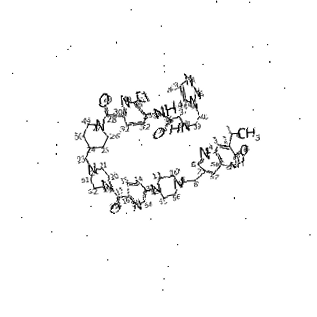 CCc1cc2ncc(CN3CCN(c4ccc(C(=O)N5CCN(CC6CCN(C(=O)c7ccc(NC(=O)CNCCn8ccnn8)c(Cl)n7)CC6)CC5)nc4)CC3)cc2[nH]c1=O